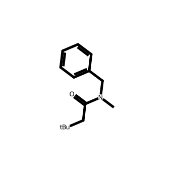 CN(Cc1ccccc1)C(=O)CC(C)(C)C